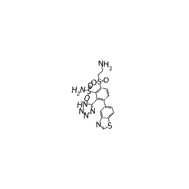 NCCS(=O)(=O)c1ccc(-c2ccc3scnc3c2)c(-c2nnn[nH]2)c1S(N)(=O)=O